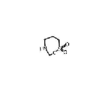 O=S1(=O)C[CH]CNCC1